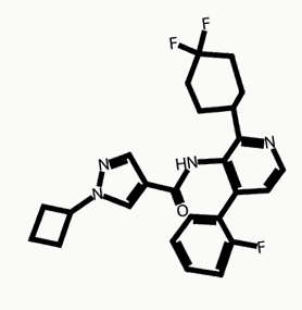 O=C(Nc1c(-c2ccccc2F)ccnc1C1CCC(F)(F)CC1)c1cnn(C2CCC2)c1